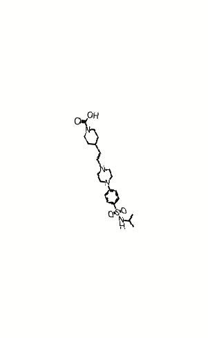 CC(C)NS(=O)(=O)c1ccc(N2CCN(CCC3CCN(C(=O)O)CC3)CC2)cc1